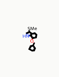 CSc1c[nH]c2c(OCc3ccccc3)cccc12